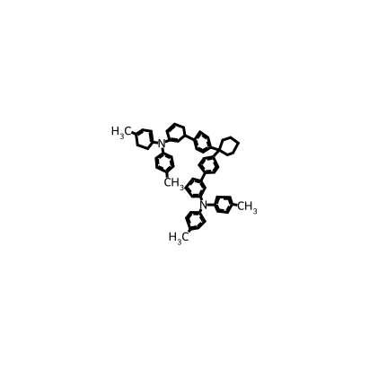 CC1=CC=C(N(C2=CC(c3ccc(C4(c5ccc(-c6cccc(N(c7ccc(C)cc7)c7ccc(C)cc7)c6)cc5)CCCCC4)cc3)CC=C2)c2ccc(C)cc2)CC1